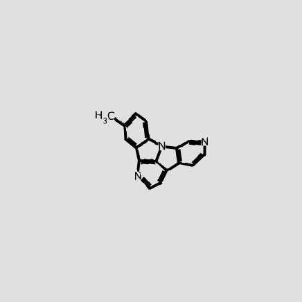 Cc1ccc2c(c1)c1nccc3c4ccncc4n2c31